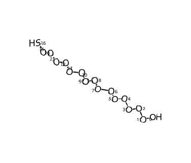 OOOOOOOOOOOOOOOOS